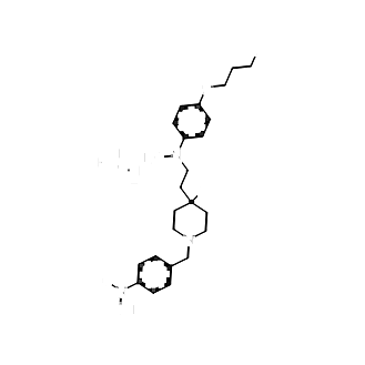 CCCCOc1ccc(N(C)CCC2(O)CCN(Cc3ccc(N(C)C)cc3)CC2)cc1.Cl.Cl.Cl